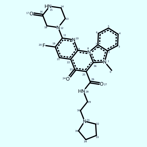 Cn1c2ccccc2n2c3nc(N4CCNC(=O)C4)c(F)cc3c(=O)c(C(=O)NCCN3CCCC3)c12